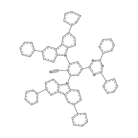 N#Cc1c(-n2c3ccc(-c4ccccc4)cc3c3cc(-c4ccccc4)ccc32)cc(-c2nc(-c3ccccc3)nc(-c3ccccc3)n2)cc1-n1c2ccc(-c3ccccc3)cc2c2cc(-c3ccccc3)ccc21